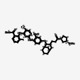 CNC(=O)c1cccc(C)c1Nc1nc(Nc2ccc(OC3C4CCCC(C4)CC3CCC(=O)N3CC[C@H](NC(C)=O)C3)cc2OC)ncc1C(F)(F)F